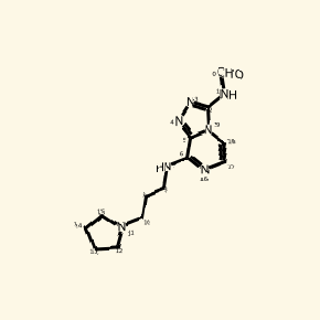 O=CNc1nnc2c(NCCCN3CCCC3)nccn12